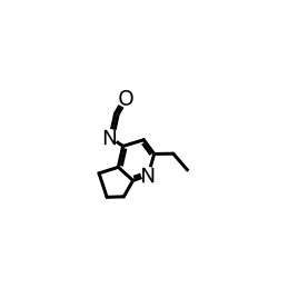 CCc1cc(N=C=O)c2c(n1)CCC2